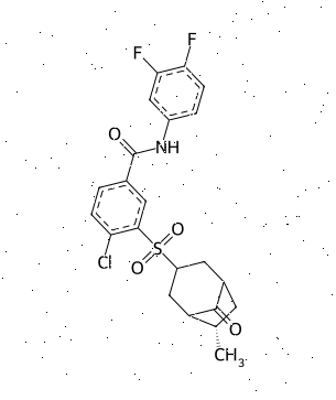 C[C@H]1CC2CC(S(=O)(=O)c3cc(C(=O)Nc4ccc(F)c(F)c4)ccc3Cl)CC1C2=O